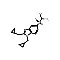 CC(C)S(=O)(=O)c1ccc2c(c1)nc(CC1CC1)n2CC1CC1